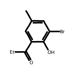 CCC(=O)c1cc(C)cc(Br)c1O